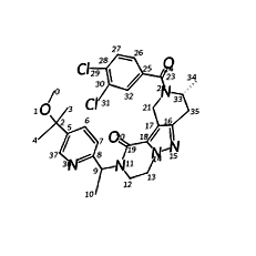 COC(C)(C)c1ccc(C(C)N2CCn3nc4c(c3C2=O)CN(C(=O)c2ccc(Cl)c(Cl)c2)[C@H](C)C4)nc1